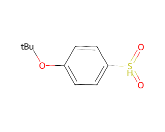 CC(C)(C)Oc1ccc([SH](=O)=O)cc1